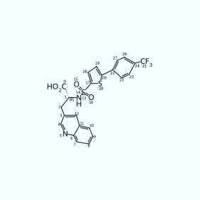 O=C(O)[C@@H](Cc1cnc2ccccc2c1)NS(=O)(=O)c1ccc(-c2ccc(C(F)(F)F)cc2)s1